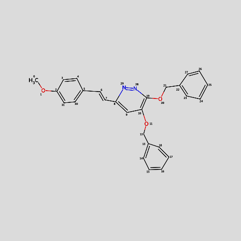 COc1ccc(/C=C/c2cc(OCc3ccccc3)c(OCc3ccccc3)nn2)cc1